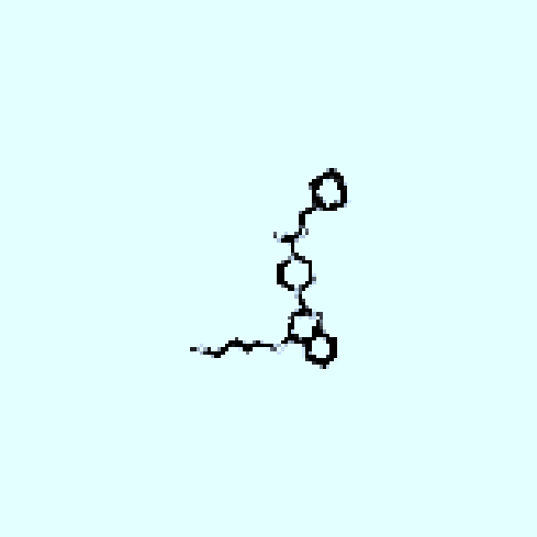 O=C(OCc1ccccc1)N1CCN(c2nc(OCC=CCO)c3ccccc3n2)CC1